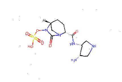 N[C@H]1CNC[C@H]1NC(=O)[C@H]1CC[C@@H]2CN1C(=O)N2OS(=O)(=O)O